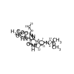 COC1(C)CN(c2ccc3c(c2)CC[C@@]32Cc3nn(CCC4CC4)c(NC(=O)CS(C)(=O)=O)c3C(=O)N2)C1